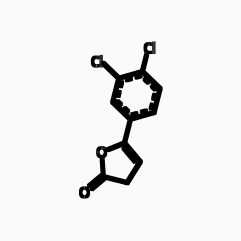 O=C1CC=C(c2ccc(Cl)c(Cl)c2)O1